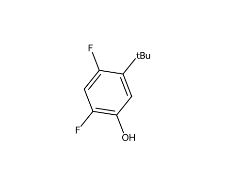 CC(C)(C)c1cc(O)c(F)cc1F